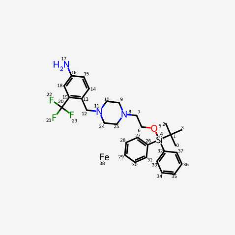 CC(C)(C)[Si](OCCN1CCN(Cc2ccc(N)cc2C(F)(F)F)CC1)(c1ccccc1)c1ccccc1.[Fe]